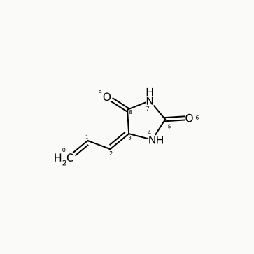 C=CC=C1NC(=O)NC1=O